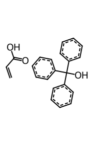 C=CC(=O)O.OC(c1ccccc1)(c1ccccc1)c1ccccc1